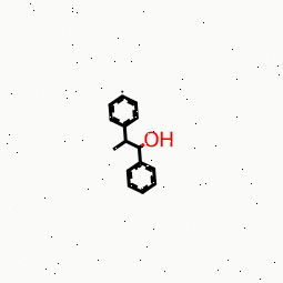 CC(c1cc[c]cc1)C(O)c1ccccc1